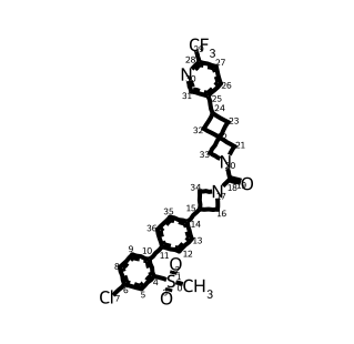 CS(=O)(=O)c1cc(Cl)ccc1-c1ccc(C2CN(C(=O)N3CC4(CC(c5ccc(C(F)(F)F)nc5)C4)C3)C2)cc1